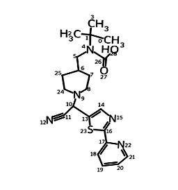 CC(C)(C)N(CC1CCN(C(C#N)c2cnc(-c3ccccn3)s2)CC1)C(=O)O